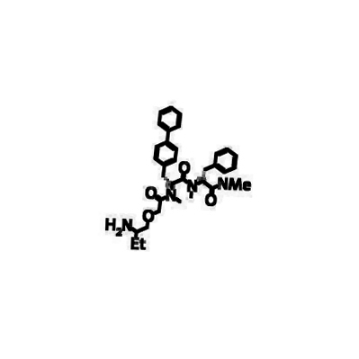 CCC(N)COCC(=O)N(C)[C@H](Cc1ccc(-c2ccccc2)cc1)C(=O)N(C)[C@H](Cc1ccccc1)C(=O)NC